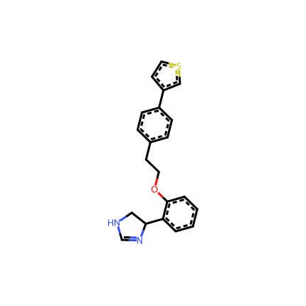 C1=NC(c2ccccc2OCCc2ccc(-c3ccsc3)cc2)CN1